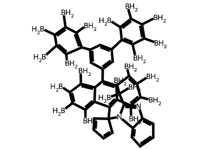 Bc1c(B)c(B)c(-c2cc(-c3c(B)c(B)c(B)c(B)c3B)cc(-c3c4c(B)c(B)c(B)c(B)c4c(C4(n5c(C(B)(B)B)nc6ccccc65)C=CC=C4)c4c(B)c(B)c(B)c(B)c34)c2)c(B)c1B